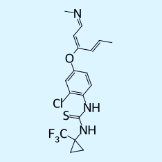 C/C=C/C(=C\C=N/C)Oc1ccc(NC(=S)NC2(C(F)(F)F)CC2)c(Cl)c1